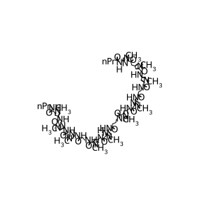 CCCNC(=O)c1cc(NC(=O)c2nc(NC(=O)c3nc(NC(=O)CCNC(=O)c4cc(NC(=O)c5nc(NC(=O)CCCNC(=O)c6cc(NC(=O)c7nc(NC(=O)CCNC(=O)c8cc(NC(=O)c9cc(CC(=O)c%10nc(NC(=O)CCC)cn%10C)cn9C)cn8C)cn7C)cn6C)cn5C)cn4C)cn3C)cn2C)cn1C